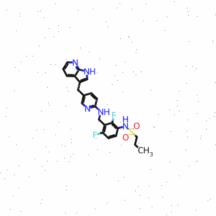 CCCS(=O)(=O)Nc1ccc(F)c(CNc2ccc(Cc3c[nH]c4ncccc34)cn2)c1F